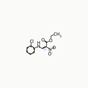 CCOC(=O)/C(=C\Nc1ccccc1Cl)[N+](=O)[O-]